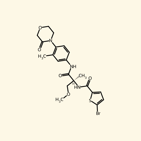 COC[C@](C)(NC(=O)c1ccc(Br)s1)C(=O)Nc1ccc(N2CCOCC2=O)c(C)c1